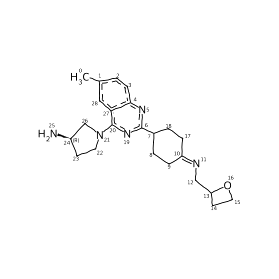 Cc1ccc2nc(C3CCC(=NCC4CCO4)CC3)nc(N3CC[C@@H](N)C3)c2c1